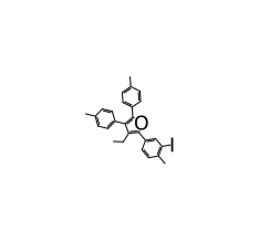 CCc1c(-c2ccc(C)c(I)c2)oc(-c2ccc(C)cc2)c1-c1ccc(C)cc1